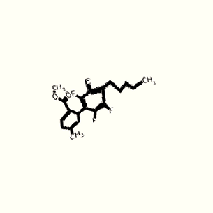 CCCCCc1c(F)c(F)c(C2C=C(C)CC=C2C(=O)OC)c(F)c1F